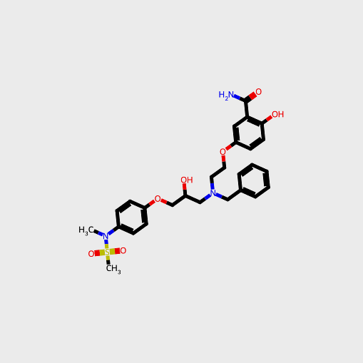 CN(c1ccc(OCC(O)CN(CCOc2ccc(O)c(C(N)=O)c2)Cc2ccccc2)cc1)S(C)(=O)=O